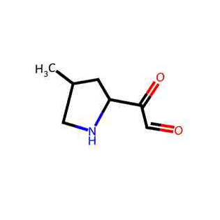 CC1CNC(C(=O)C=O)C1